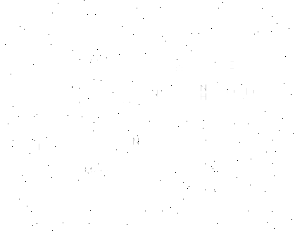 CCOC(=O)C(CC)(CC)NC(=O)c1ccc(N2CC(OC)C2)c(OCC2(COCCCF)COC2)n1